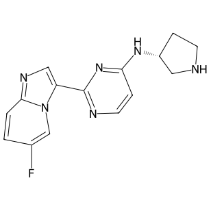 Fc1ccc2ncc(-c3nccc(N[C@@H]4CCNC4)n3)n2c1